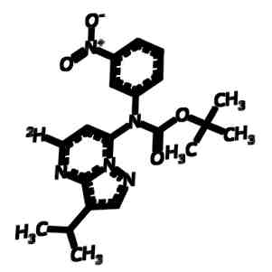 [2H]c1cc(N(C(=O)OC(C)(C)C)c2cccc([N+](=O)[O-])c2)n2ncc(C(C)C)c2n1